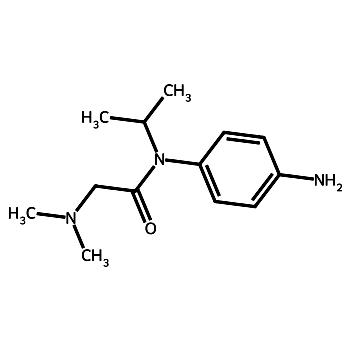 CC(C)N(C(=O)CN(C)C)c1ccc(N)cc1